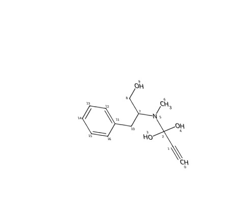 C#CC(O)(O)N(C)C(CO)Cc1ccccc1